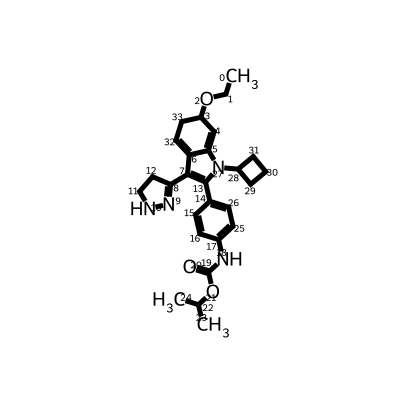 CCOC1C=c2c(c(C3=NNCC3)c(-c3ccc(NC(=O)OC(C)C)cc3)n2C2CCC2)=CC1